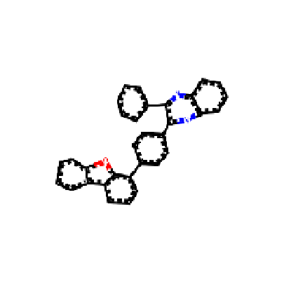 c1ccc(-c2nc3ccccc3nc2-c2ccc(-c3cccc4c3oc3ccccc34)cc2)cc1